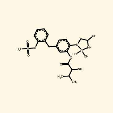 CC(C)C(N)C(=O)Oc1cc(Cc2ccccc2OS(C)(=O)=O)ccc1N1CC(O)NS1(O)O